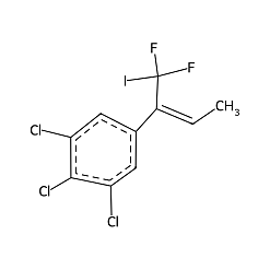 C/C=C(/c1cc(Cl)c(Cl)c(Cl)c1)C(F)(F)I